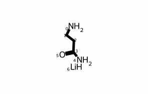 NCCC(N)=O.[LiH]